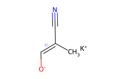 C/C(C#N)=C\[O-].[K+]